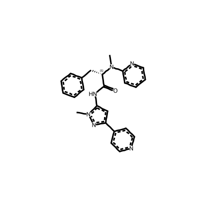 CN(c1ccccn1)[C@@H](Cc1ccccc1)C(=O)Nc1cc(-c2ccncc2)nn1C